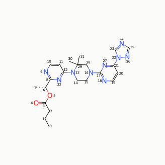 CCCC(=O)O[C@H](C)c1nccc(N2CCN(c3nccc(-n4cncn4)n3)CC2(C)C)n1